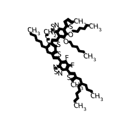 C=C=C=CC(CCCCCC)Cc1cc(-c2c(F)c(F)c(-c3cc(CC(CCCC)CCCCCC)c(C)s3)c3nsnc23)sc1-c1ccc(-c2c(OCCCCCC)c(OCCCCCC)c(-c3ccc(C)s3)c3nsnc23)s1